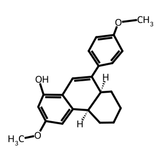 COc1ccc(C2=Cc3c(O)cc(OC)cc3[C@@H]3CCCC[C@H]23)cc1